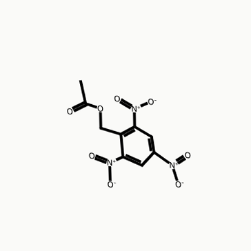 CC(=O)OCc1c([N+](=O)[O-])cc([N+](=O)[O-])cc1[N+](=O)[O-]